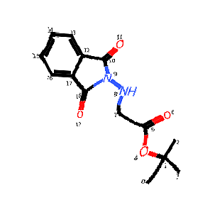 CC(C)(C)OC(=O)CNN1C(=O)c2ccccc2C1=O